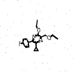 CCOCc1nc(C2CC2)c(-c2ccc(F)cc2)nc1OCC